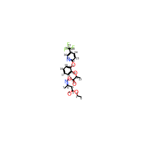 CCOC(=O)C/C(C)=N\OC(=O)C(C)Oc1ccccc1Oc1ccc(C(F)(F)F)cn1